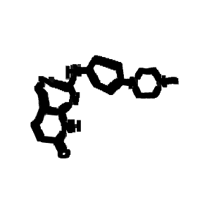 CN1CCN(c2ccc(Nc3ncc4ccc(=O)[nH]c4n3)cc2)CC1